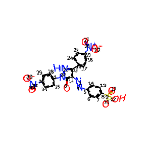 O=c1c(N=Nc2ccc(S(=O)(=O)O)cc2)c(-c2ccc([N+](=O)[O-])cc2)[nH]n1-c1ccc([N+](=O)[O-])cc1